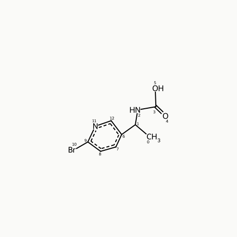 CC(NC(=O)O)c1ccc(Br)nc1